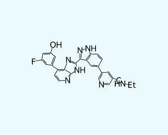 CCNCc1cncc(-c2ccc3[nH]nc(-c4nc5c(-c6cc(O)cc(F)c6)ccnc5[nH]4)c3c2)c1